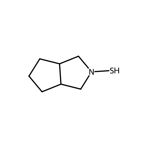 SN1CC2CCCC2C1